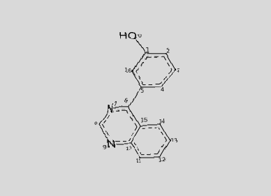 Oc1cccc(-c2ncnc3ccccc23)c1